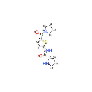 O=C(Nc1ccc(C(=O)N2CCCC2)s1)[C@@H]1CCCN1